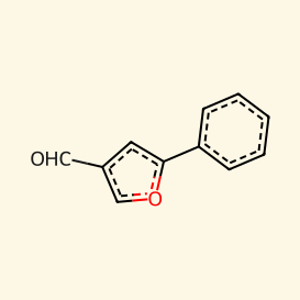 O=Cc1coc(-c2ccccc2)c1